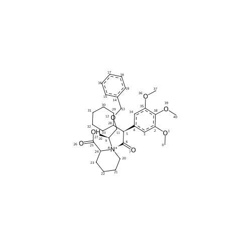 COc1cc([C@@H](C(=O)[N@@+]2([C@@H](C)COCc3ccccc3)CCCCC2C(=O)O)C2CCCCC2)cc(OC)c1OC